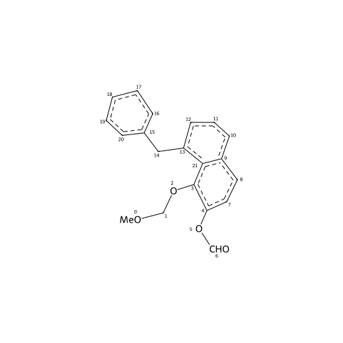 COCOc1c(OC=O)ccc2cccc(Cc3ccccc3)c12